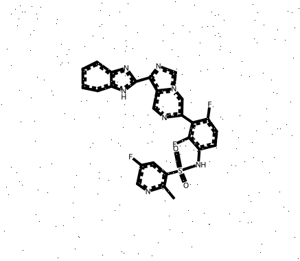 Cc1ncc(F)cc1S(=O)(=O)Nc1ccc(F)c(-c2cn3cnc(-c4nc5ccccc5[nH]4)c3cn2)c1F